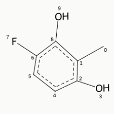 Cc1c(O)ccc(F)c1O